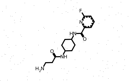 NCCC(=O)NC1CCC(NC(=O)c2cccc(F)n2)CC1